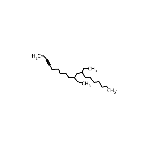 [CH2]CC#CCCCCCC(CC)CC(CC)CCCCCC[CH2]